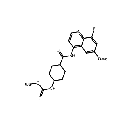 COc1cc(F)c2nccc(NC(=O)C3CCC(NC(=O)OC(C)(C)C)CC3)c2c1